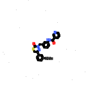 CC(=O)Nc1cccc(C2=NN(Cc3cccc(NC(=O)c4cccnc4)c3)C(=O)SC2)c1